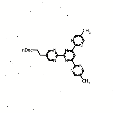 CCCCCCCCCCCCc1cnc(-c2nc(-c3ncc(C)cn3)cc(-c3ncc(C)cn3)n2)nc1